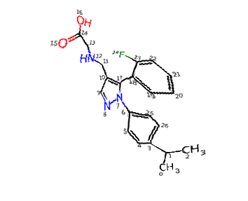 CC(C)c1ccc(-n2ncc(CNCC(=O)O)c2-c2ccccc2F)cc1